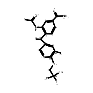 CC(=O)Nc1cc(C(N)=O)ccc1C(C)c1cnc(OCC(F)(F)F)c(C)c1